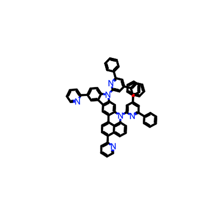 c1ccc(-c2cc(-c3ccccc3)nc(N3c4cc5c(cc4-c4ccc(-c6ccccn6)c6cccc3c46)c3cc(-c4ccccn4)ccc3n5-c3cc(-c4ccccc4)cc(-c4ccccc4)n3)c2)cc1